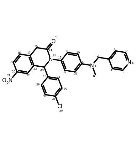 CN(Cc1ccncc1)c1ccc(N2C(=O)Cc3ccc([N+](=O)[O-])cc3C2c2ccc(Cl)cc2)cc1